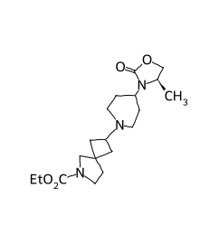 CCOC(=O)N1CCC2(CC(N3CCC(N4C(=O)OC[C@H]4C)CC3)C2)C1